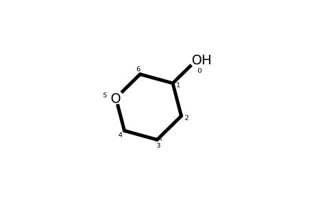 OC1C[CH]COC1